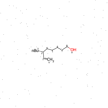 C=CC(CCCC)CCCCCO